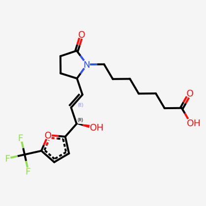 O=C(O)CCCCCCN1C(=O)CCC1/C=C/[C@@H](O)c1ccc(C(F)(F)F)o1